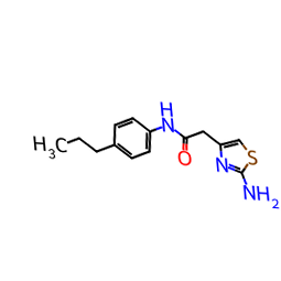 CCCc1ccc(NC(=O)Cc2csc(N)n2)cc1